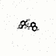 CC1=C(S(=O)(=O)Nc2cccc3c2CCNC3)C2=CNSN2C=C1.Cl